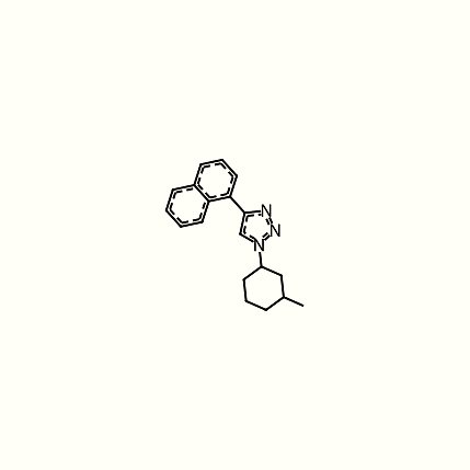 CC1CCCC(n2cc(-c3cccc4ccccc34)nn2)C1